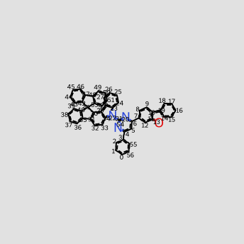 c1ccc(-c2cc(-c3ccc4c(c3)oc3ccccc34)nc(-n3c4ccccc4c4c5c(ccc43)-c3ccccc3C53c4ccccc4-c4ccccc43)n2)cc1